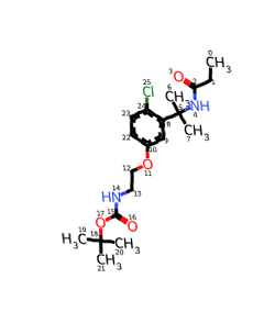 CCC(=O)NC(C)(C)c1cc(OCCNC(=O)OC(C)(C)C)ccc1Cl